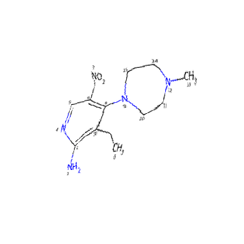 Cc1c(N)ncc([N+](=O)[O-])c1N1CCN(C)CC1